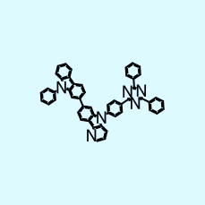 c1ccc(-c2nc(-c3ccccc3)nc(-c3ccc(-n4c5cc(-c6ccc7c8ccccc8n(-c8ccccc8)c7c6)ccc5c5ncccc54)cc3)n2)cc1